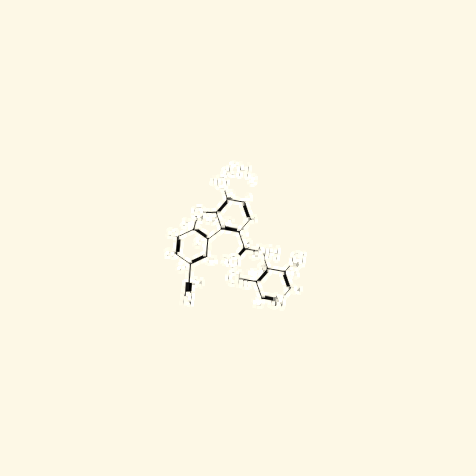 COc1ccc(C(=O)Nc2c(Cl)cncc2Cl)c2c1oc1ccc(C#N)cc12